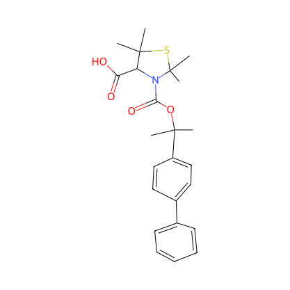 CC(C)(OC(=O)N1C(C(=O)O)C(C)(C)SC1(C)C)c1ccc(-c2ccccc2)cc1